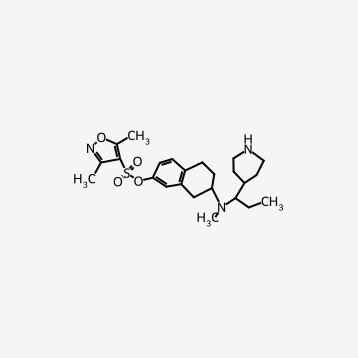 CCC(C1CCNCC1)N(C)C1CCc2ccc(OS(=O)(=O)c3c(C)noc3C)cc2C1